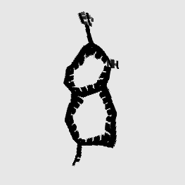 C[CH]c1cc2cc(F)ccc2[nH]1